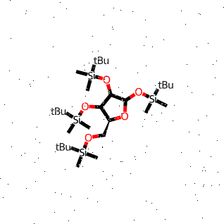 CC(C)(C)[Si](C)(C)OC[C@@H]1OC(O[Si](C)(C)C(C)(C)C)C(O[Si](C)(C)C(C)(C)C)C1O[Si](C)(C)C(C)(C)C